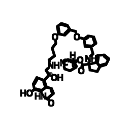 O=C(O[C@H]1CN2CCCC1CC2)C1(NCc2cccc(OCc3cccc(OCCCCNC[C@H](O)c4ccc(O)c5[nH]c(=O)ccc45)c3)c2)CCc2ccccc21